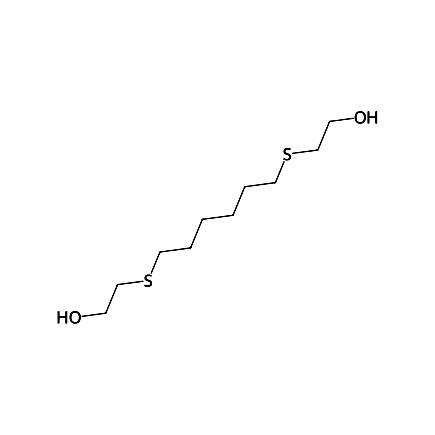 OCCSCCCCCCSCCO